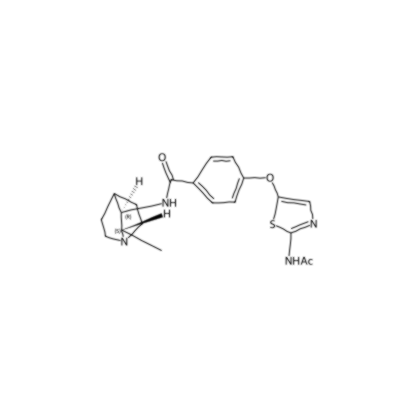 CC(=O)Nc1ncc(Oc2ccc(C(=O)N[C@@H]3C4CCN(CC4)[C@H]3C)cc2)s1